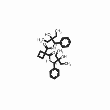 CCC(O)(CC)[C@H](NC(=O)C1(C(=O)N[C@H](c2ccccc2)C(O)(CC)CC)CCC1)c1ccccc1